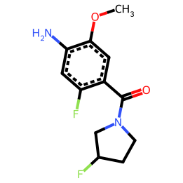 COc1cc(C(=O)N2CCC(F)C2)c(F)cc1N